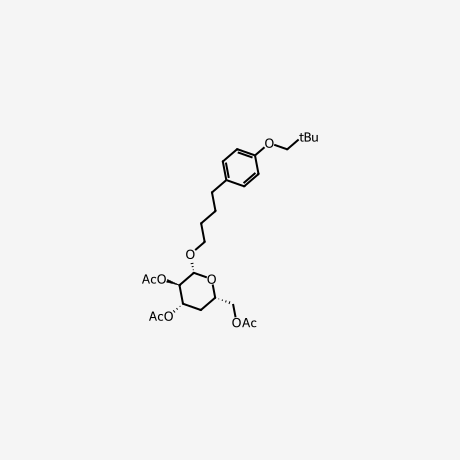 CC(=O)OC[C@@H]1C[C@H](OC(C)=O)[C@@H](OC(C)=O)[C@H](OCCCCc2ccc(OCC(C)(C)C)cc2)O1